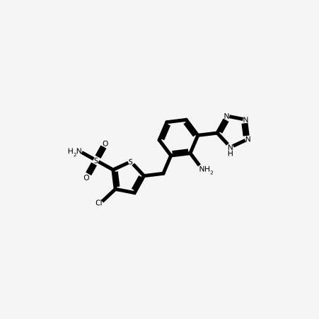 Nc1c(Cc2cc(Cl)c(S(N)(=O)=O)s2)cccc1-c1nnn[nH]1